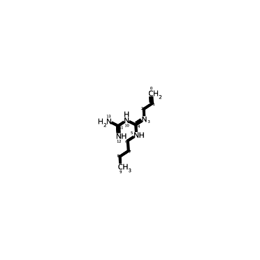 C=CCN=C(NCCCC)NC(=N)N